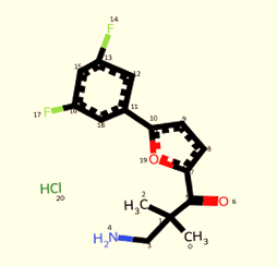 CC(C)(CN)C(=O)c1ccc(-c2cc(F)cc(F)c2)o1.Cl